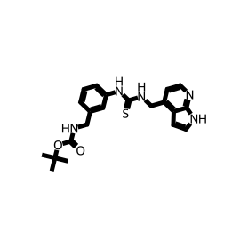 CC(C)(C)OC(=O)NCc1cccc(NC(=S)NCc2ccnc3[nH]ccc23)c1